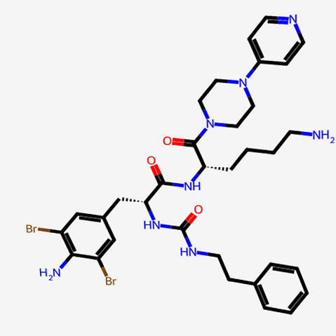 NCCCC[C@H](NC(=O)[C@@H](Cc1cc(Br)c(N)c(Br)c1)NC(=O)NCCc1ccccc1)C(=O)N1CCN(c2ccncc2)CC1